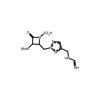 CNC1C(=O)N(S(=O)(=O)O)C1Cn1ncc(CNC=N)n1